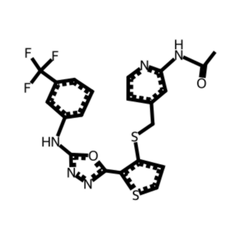 CC(=O)Nc1cc(CSc2ccsc2-c2nnc(Nc3cccc(C(F)(F)F)c3)o2)ccn1